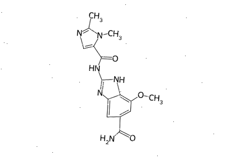 COc1cc(C(N)=O)cc2nc(NC(=O)c3cnc(C)n3C)[nH]c12